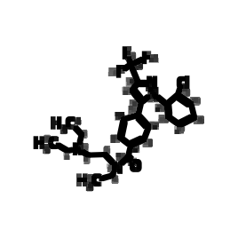 CCN(CC)CCN(CC)C(=O)c1ccc(-c2cc(C(F)(F)F)nn2-c2ccccc2Cl)cc1